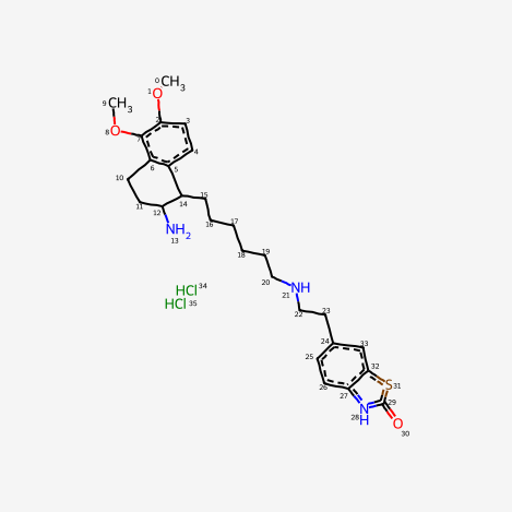 COc1ccc2c(c1OC)CCC(N)C2CCCCCCNCCc1ccc2[nH]c(=O)sc2c1.Cl.Cl